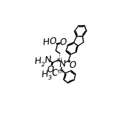 C[C@@H](c1ccccc1)N(C(=O)c1ccc2c(c1)Cc1ccccc1-2)[C@@H](CCC(=O)O)C(N)=O